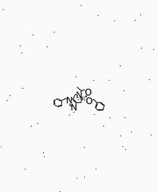 CC(C)N1Cc2c(ncn2Cc2ccccc2)C[C@H]1C(=O)OCc1ccccc1